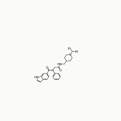 CCC(CC)N1CCC(CNC(=O)CN(C(=O)c2ccc3cc[nH]c3c2)c2ccccc2)CC1